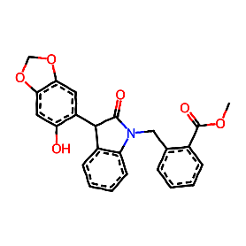 COC(=O)c1ccccc1CN1C(=O)C(c2cc3c(cc2O)OCO3)c2ccccc21